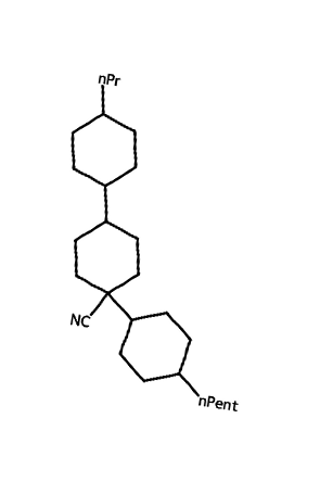 CCCCCC1CCC(C2(C#N)CCC(C3CCC(CCC)CC3)CC2)CC1